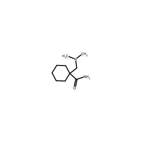 CN(C)CC1(C(N)=O)CCCCC1